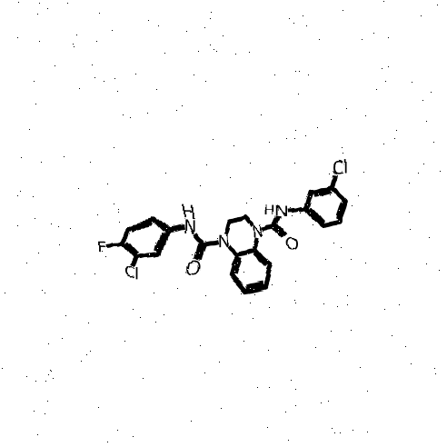 O=C(Nc1cccc(Cl)c1)N1CCN(C(=O)Nc2ccc(F)c(Cl)c2)c2ccccc21